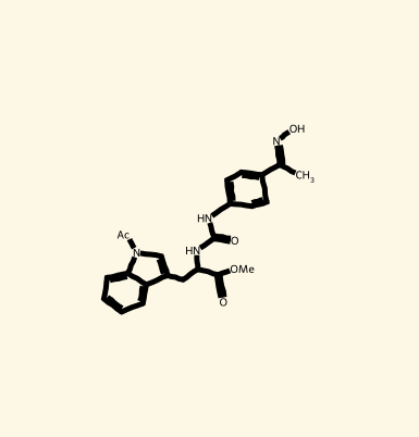 COC(=O)C(Cc1cn(C(C)=O)c2ccccc12)NC(=O)Nc1ccc(C(C)=NO)cc1